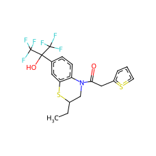 CCC1CN(C(=O)Cc2cccs2)c2ccc(C(O)(C(F)(F)F)C(F)(F)F)cc2S1